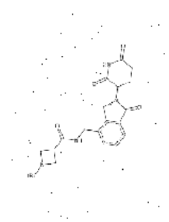 CC(C)(C)N1CC(C(=O)NCc2cccc3c2CN(C2CCC(=O)NC2=O)C3=O)C1